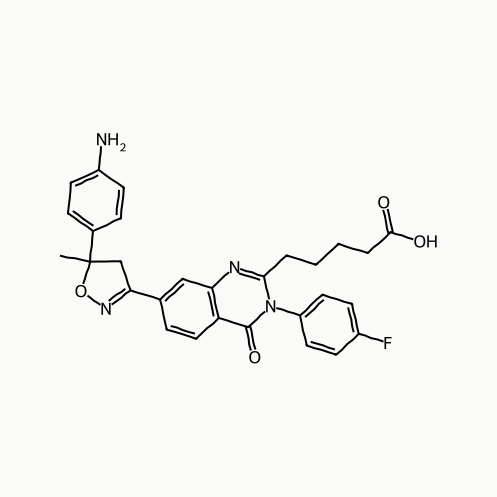 CC1(c2ccc(N)cc2)CC(c2ccc3c(=O)n(-c4ccc(F)cc4)c(CCCCC(=O)O)nc3c2)=NO1